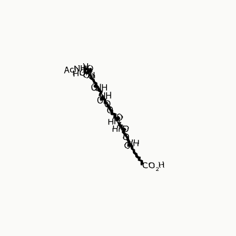 CC(=O)N[C@H]1[C@H]2OC[C@](COCCCCC(=O)NCCCNC(=O)CCOCCOCCCCC(=O)NCCCNC(=O)CCOCCNC(=O)CCCCCCCCCCC(=O)O)(O2)[C@H](O)[C@@H]1O